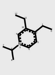 CCc1cc[n+](C(C)C)cc1CC